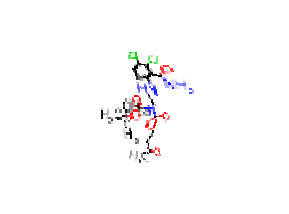 CC(=O)CCOC(=O)N(CCNc1ccc(Cl)c(Cl)c1C(N)=O)C(=O)OC(C)(C)C